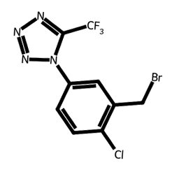 FC(F)(F)c1nnnn1-c1ccc(Cl)c(CBr)c1